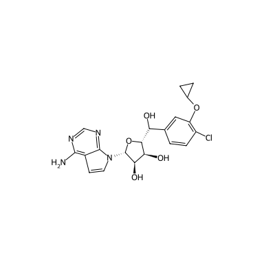 Nc1ncnc2c1ccn2[C@@H]1O[C@H](C(O)c2ccc(Cl)c(OC3CC3)c2)[C@@H](O)[C@H]1O